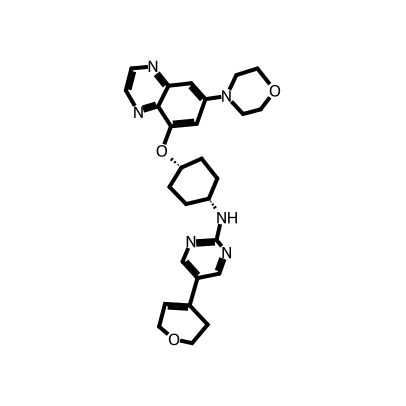 C1=C(c2cnc(N[C@H]3CC[C@@H](Oc4cc(N5CCOCC5)cc5nccnc45)CC3)nc2)CCOC1